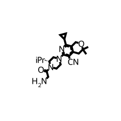 CC(C)[C@@H]1CN(c2nc(C3CC3)c3c(c2C#N)CC(C)(C)OC3)CCN1C(=O)CN